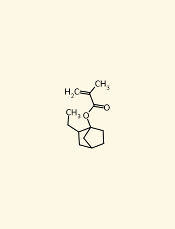 C=C(C)C(=O)OC12CCC(CC1CC)C2